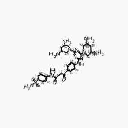 N[C@@H]1C[C@H](N)CN(c2nc(Nc3ccc(C(=O)CC(=O)Nc4ccc(S(N)(=O)=O)cc4)cc3)nc(N3C[C@H](N)C[C@H](N)C3)n2)C1